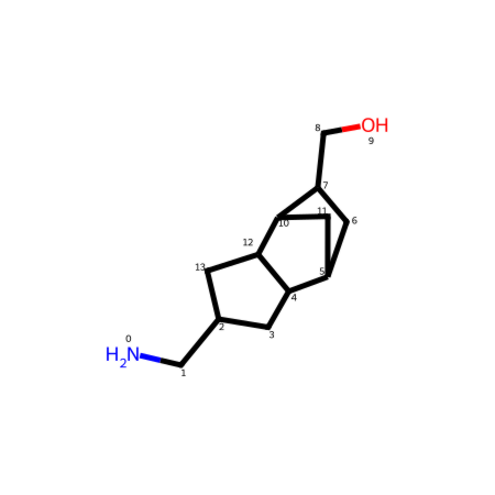 NCC1CC2C3CC(CO)C(C3)C2C1